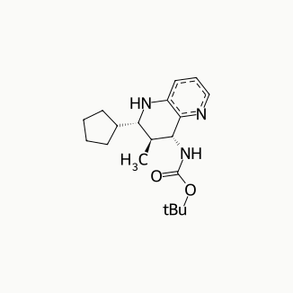 C[C@@H]1[C@@H](NC(=O)OC(C)(C)C)c2ncccc2N[C@H]1C1CCCC1